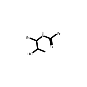 CCC(NC(=O)C(C)C)C(C)O